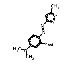 COc1cc(N(C)C)ccc1N=Nc1cc(C)on1